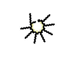 CCCCCCCCc1cc(-c2sc(-c3sc(-c4sc(-c5sc(-c6sc(-c7sc(-c8sc(C(C)(C)C)cc8CCCCCCCC)cc7CCCCCCCC)cc6CCCCCCCC)cc5CCCCCCCC)cc4CCCCCCCC)cc3CCCCCCCC)cc2CCCCCCCC)sc1CCC